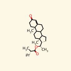 CC(C)[C@H](C)C(=O)O[C@@H](C)[C@H]1CCC2C3CCC4=CC(=O)CC[C@]4(C)C3CC[C@@]21C